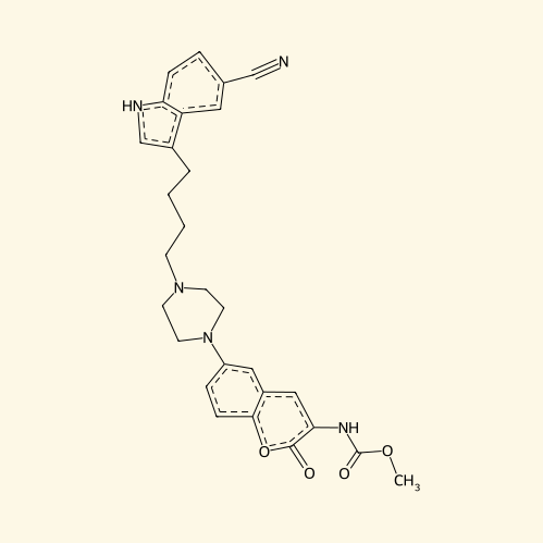 COC(=O)Nc1cc2cc(N3CCN(CCCCc4c[nH]c5ccc(C#N)cc45)CC3)ccc2oc1=O